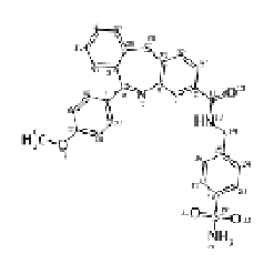 COc1ccc(C2=Nc3cc(C(=O)NCc4ccc(S(N)(=O)=O)cc4)ccc3Sc3ccccc32)cc1